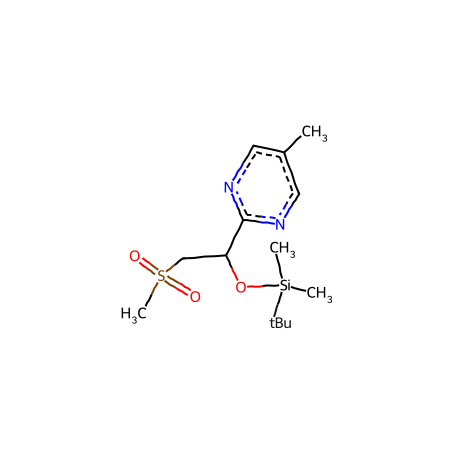 Cc1cnc(C(CS(C)(=O)=O)O[Si](C)(C)C(C)(C)C)nc1